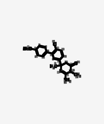 COc1ccc(-c2cc(C3(C)CC(=O)N(C)C(N)=N3)ccc2Cl)cc1